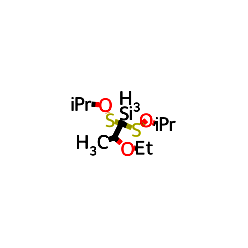 CCOC(C)C([SiH3])(SOC(C)C)SOC(C)C